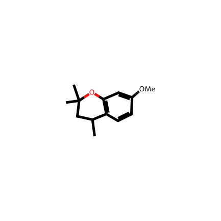 COc1ccc2c(c1)OC(C)(C)CC2C